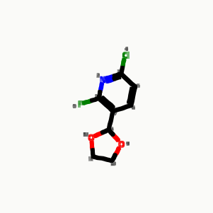 Fc1nc(Cl)ccc1C1OCCO1